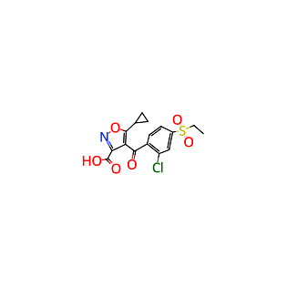 CCS(=O)(=O)c1ccc(C(=O)c2c(C(=O)O)noc2C2CC2)c(Cl)c1